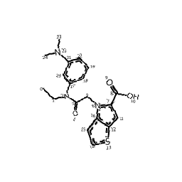 CCN(C(=O)Cn1c(C(=O)O)cc2sccc21)c1cccc(N(C)C)c1